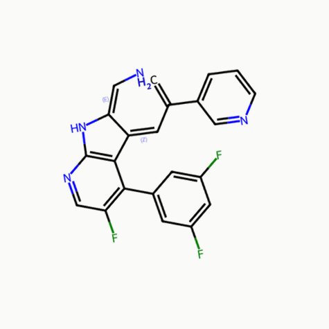 C=C(/C=c1\c(=C/N)[nH]c2ncc(F)c(-c3cc(F)cc(F)c3)c12)c1cccnc1